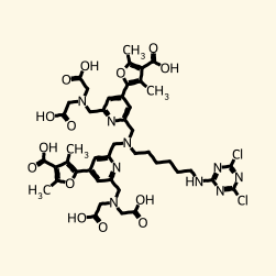 Cc1oc(-c2cc(CN(CC(=O)O)CC(=O)O)nc(CN(CCCCCCNc3nc(Cl)nc(Cl)n3)Cc3cc(-c4oc(C)c(C(=O)O)c4C)cc(CN(CC(=O)O)CC(=O)O)n3)c2)c(C)c1C(=O)O